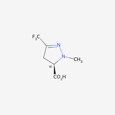 CN1N=C(C(F)(F)F)C[C@@H]1C(=O)O